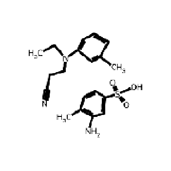 CCN(CCC#N)c1cccc(C)c1.Cc1ccc(S(=O)(=O)O)cc1N